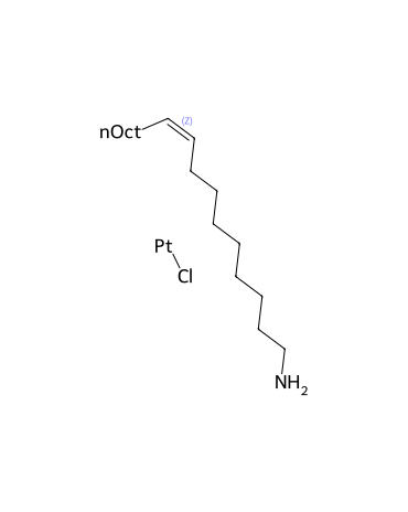 CCCCCCCC/C=C\CCCCCCCCN.[Cl][Pt]